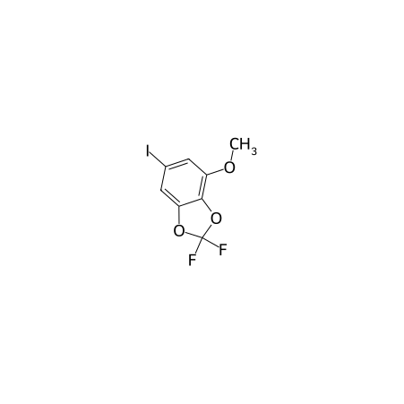 COc1cc(I)cc2c1OC(F)(F)O2